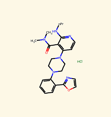 CCCNc1nccc(N2CCN(c3ccccc3-c3ncco3)CC2)c1C(=O)N(C)C.Cl